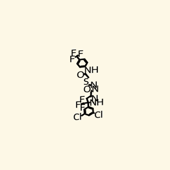 O=C(CSc1nnc(C2=NNC(c3cc(Cl)cc(Cl)c3)(C(F)(F)F)C2)o1)Nc1ccc(C(F)(F)F)cc1